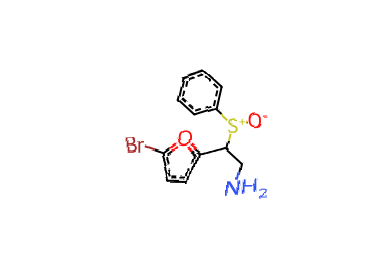 NCC(c1ccc(Br)o1)[S+]([O-])c1ccccc1